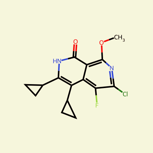 COc1nc(Cl)c(F)c2c(C3CC3)c(C3CC3)[nH]c(=O)c12